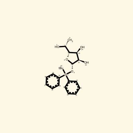 C[C@@H](O)[C@H]1O[C@@H](O[Si](c2ccccc2)(c2ccccc2)C(C)(C)C)[C@H](O)[C@@H]1O